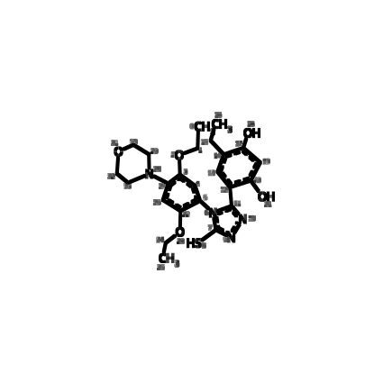 CCOc1cc(-n2c(S)nnc2-c2cc(CC)c(O)cc2O)c(OCC)cc1N1CCOCC1